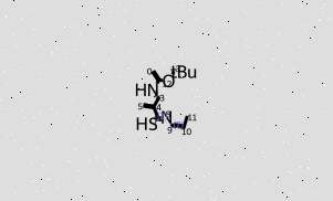 C=C(NCC(=C)/C(S)=N/C=C\C)OC(C)(C)C